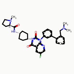 CN(C)Cc1ccccc1-c1cccc(-n2c(=O)n([C@H]3CC[C@@H](NC(=O)[C@H]4CCCN4C)CC3)c(=O)c3cc(F)cnc32)c1